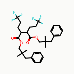 CC(C)(COC(=O)C(CCC(F)(F)F)C(CCC(F)(F)F)C(=O)OCC(C)(C)Cc1ccccc1)Cc1ccccc1